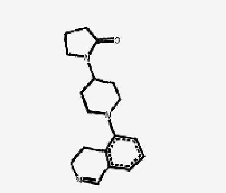 O=C1CCCN1C1CCN(c2cccc3c2CCN=C3)CC1